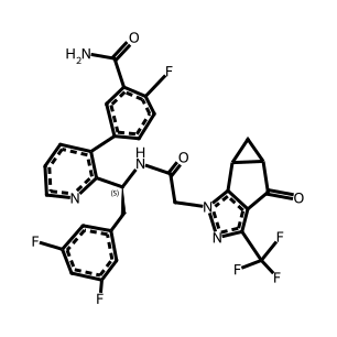 NC(=O)c1cc(-c2cccnc2[C@H](Cc2cc(F)cc(F)c2)NC(=O)Cn2nc(C(F)(F)F)c3c2C2CC2C3=O)ccc1F